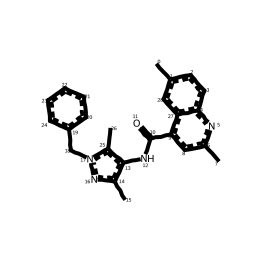 Cc1ccc2nc(C)cc(C(=O)Nc3c(C)nn(Cc4ccccc4)c3C)c2c1